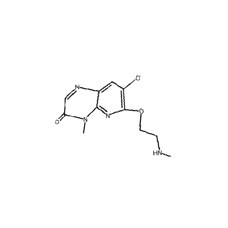 CNCCOc1nc2c(cc1Cl)ncc(=O)n2C